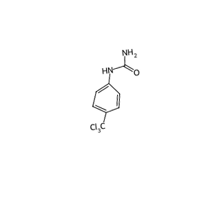 NC(=O)Nc1ccc(C(Cl)(Cl)Cl)cc1